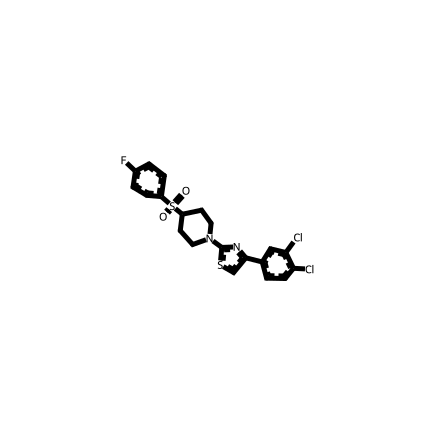 O=S(=O)(c1ccc(F)cc1)C1CCN(c2nc(-c3ccc(Cl)c(Cl)c3)cs2)CC1